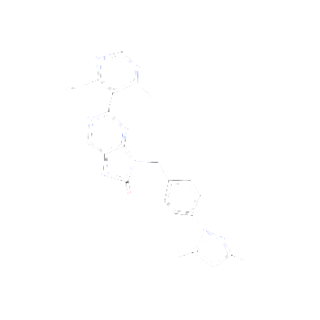 COc1ncnc(C(C)C)c1-c1ncc2[nH]c(=O)n(Cc3ccc(-n4nc(C(F)(F)F)cc4C)cc3)c2n1